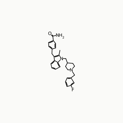 Cc1c(Cc2ccc(C(N)=O)cc2)c2ccccc2n1CC1CCN(Cc2cccc(F)c2)CC1